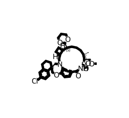 COC[C@@H]1[C@@H](C)CCC[C@H](C2OCCCO2)[C@@H]2CC[C@H]2CN2C[C@@]3(CCCc4cc(Cl)ccc43)COc3ccc(cc32)C(=O)NS1(=O)=O